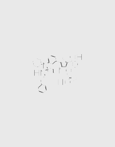 O=C(O)COc1c(C(=O)O)sc(-c2cccc(N(C(=O)NCCc3ccccc3)C3CCCCC3)c2)c1Cl